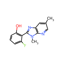 Cc1cnc2c(c1)nc(-c1c(O)cccc1F)n2C